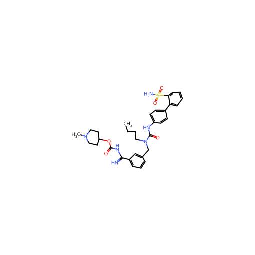 CCCCN(Cc1cccc(C(=N)NC(=O)OC2CCN(C)CC2)c1)C(=O)Nc1ccc(-c2ccccc2S(N)(=O)=O)cc1